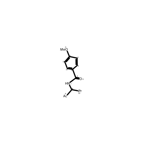 COc1ccc(C(=O)NC(C(C)=O)C(C)C)cc1